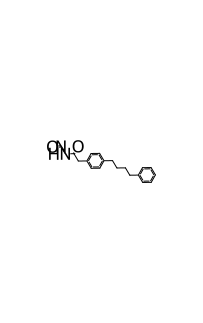 O=NNC(=O)Cc1ccc(CCCCc2ccccc2)cc1